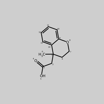 CC1(CC(=O)O)CCOc2ccccc21